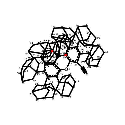 [C]#Cc1c(Oc2c(C34CC5CC(CC(C5)C3)C4)c(C34CC5CC(CC(C5)C3)C4)c(C34CC5CC(CC(C5)C3)C4)c(C34CC5CC(CC(C5)C3)C4)c2C23CC4CC(CC(C4)C2)C3)c(C23CC4CC(CC(C4)C2)C3)c(C23CC4CC(CC(C4)C2)C3)c(C23CC4CC(CC(C4)C2)C3)c1C12CC3CC(CC(C3)C1)C2